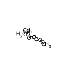 C=C(C)C(=O)OCC(=O)c1ccc2cc(OCOC)ccc2c1